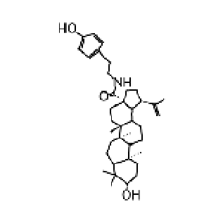 C=C(C)[C@@H]1CC[C@]2(C(=O)NCCc3ccc(O)cc3)CC[C@]3(C)C(CCC4[C@@]5(C)CC[C@H](O)C(C)(C)C5CC[C@]43C)C12